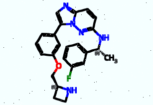 C[C@@H](Nc1ccc2ncc(-c3cccc(OC[C@@H]4CCN4)c3)n2n1)c1cccc(F)c1